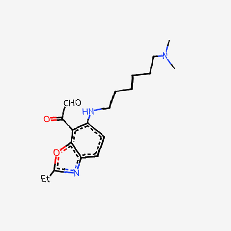 CCc1nc2ccc(NCCCCCCN(C)C)c(C(=O)C=O)c2o1